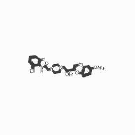 COc1ccc2c(c1)OCC(C(O)CN1CCN(CC(=O)Nc3c(Cl)cccc3Cl)CC1)O2